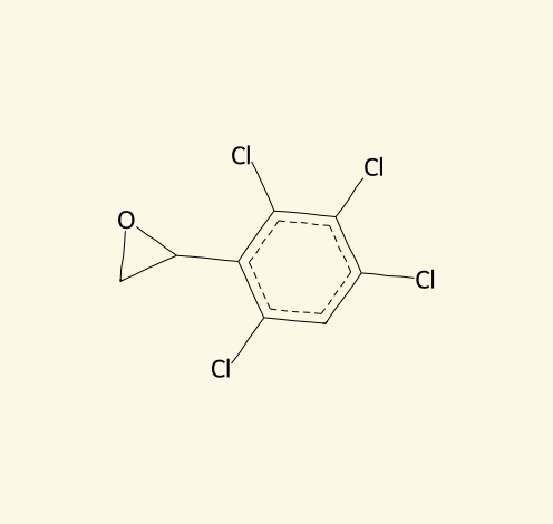 Clc1cc(Cl)c(C2CO2)c(Cl)c1Cl